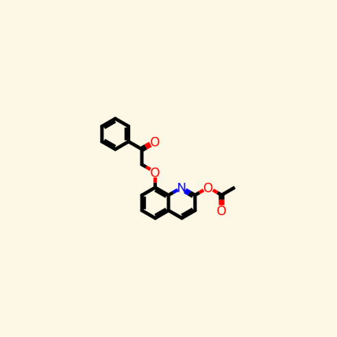 CC(=O)Oc1ccc2cccc(OCC(=O)c3ccccc3)c2n1